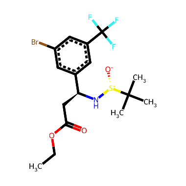 CCOC(=O)C[C@H](N[S@+]([O-])C(C)(C)C)c1cc(Br)cc(C(F)(F)F)c1